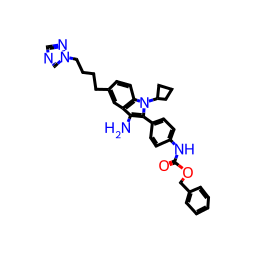 Nc1c(-c2ccc(NC(=O)OCc3ccccc3)cc2)n(C2CCC2)c2ccc(CCCCn3cncn3)cc12